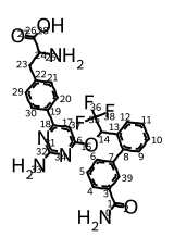 NC(=O)c1cccc(-c2ccccc2C(Oc2cc(-c3ccc(CC(N)C(=O)O)cc3)nc(N)n2)C(F)(F)F)c1